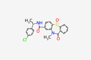 C[C@@H](NC(=O)c1ccc2c(c1)N(C)C(=O)c1ccccc1[S+]2[O-])c1ccc(Cl)cc1